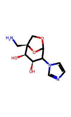 NC[C@@]12COC(O1)C(n1ccnc1)[C@@H](O)[C@H]2O